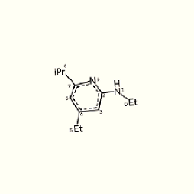 CCNc1cc(CC)cc(C(C)C)n1